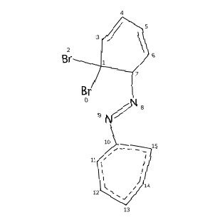 BrC1(Br)C=CC=CC1N=Nc1ccccc1